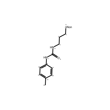 CCCCCCCCCCCCNC(=O)Nc1ccc(C)cc1